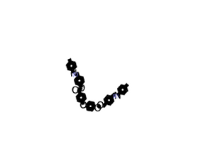 Cc1ccc(/N=C/c2ccc(COOc3ccc(Oc4ccc(C(=O)Oc5ccc(/C=N/c6ccc(C)cc6)cc5)cc4)cc3)cc2)cc1